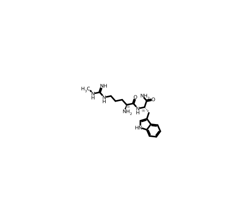 CNC(=N)NCCC[C@H](N)C(=O)N[C@@H](Cc1c[nH]c2ccccc12)C(N)=O